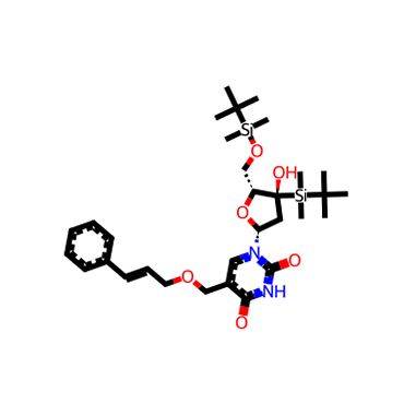 CC(C)(C)[Si](C)(C)OC[C@H]1O[C@@H](n2cc(COCC=Cc3ccccc3)c(=O)[nH]c2=O)C[C@@]1(O)[Si](C)(C)C(C)(C)C